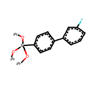 CC(C)O[Si](OC(C)C)(OC(C)C)c1ccc(-c2cccc(F)c2)cc1